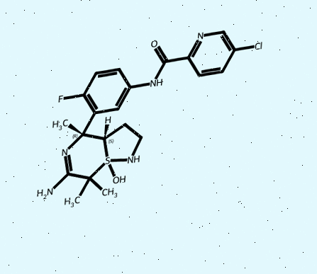 CC1(C)C(N)=N[C@](C)(c2cc(NC(=O)c3ccc(Cl)cn3)ccc2F)[C@@H]2CCNS21O